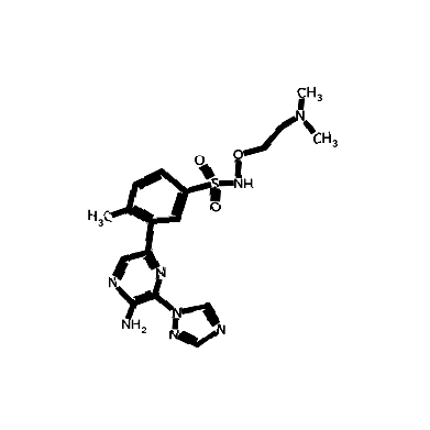 Cc1ccc(S(=O)(=O)NOCCN(C)C)cc1-c1cnc(N)c(-n2cncn2)n1